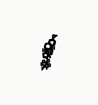 COc1ccc2c(c1)CC[C@@H]1[C@@H]2CC[C@]2(C)C(OS(=O)(=O)C(F)(F)F)=CC[C@@H]12